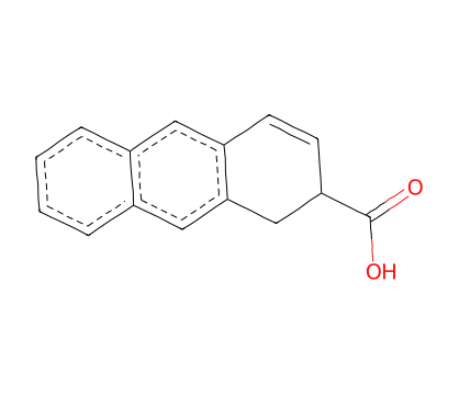 O=C(O)C1C=Cc2cc3ccccc3cc2C1